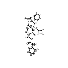 CCCC(C)[C@]1(c2ccccc2)CC[C@@]2(CCC(C(C)CC(=O)Nc3cccnc3C)C(=O)N2CC2CCC2)CC1